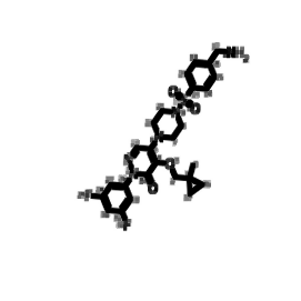 CC1(COc2c(N3CCN(S(=O)(=O)c4ccc(CN)cc4)CC3)cnn(-c3cc(F)cc(F)c3)c2=O)CC1